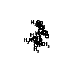 Cc1nn(C)c(OCC[C@H](C)Nc2cc(Cl)ncc2-c2ncc(S(C)(=O)=O)cc2F)c1-c1nccc(N)n1